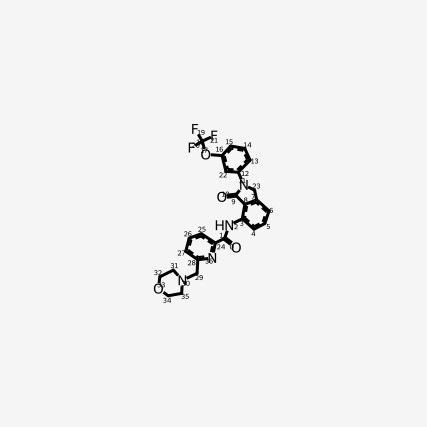 O=C(Nc1cccc2c1C(=O)N(c1cccc(OC(F)(F)F)c1)C2)c1cccc(CN2CCOCC2)n1